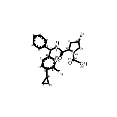 O=C(NC(c1ccccc1)c1ccc(C2CC2)c(F)n1)C1CC(F)CN1C(=O)O